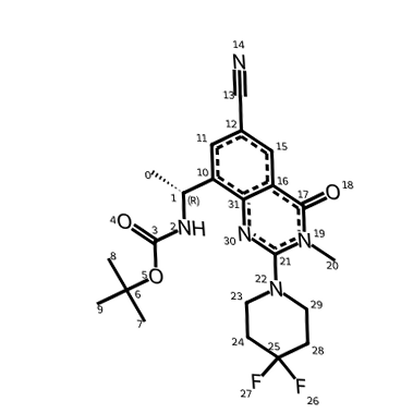 C[C@@H](NC(=O)OC(C)(C)C)c1cc(C#N)cc2c(=O)n(C)c(N3CCC(F)(F)CC3)nc12